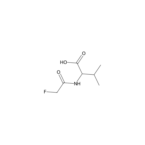 CC(C)C(NC(=O)CF)C(=O)O